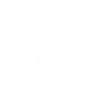 COc1ccc2c(c1)-n1nncc1Cc1c(C#Cc3cccnc3)ncn1-2